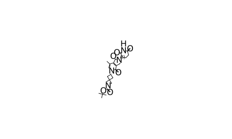 Cc1cn(C2CC3(C2)CN(C(=O)OC(C)(C)C)C3)c(=O)c2c1C(=O)N([C@H]1CCC(=O)NC1=O)C2